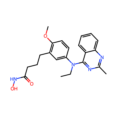 CCN(c1ccc(OC)c(CCCC(=O)NO)c1)c1nc(C)nc2ccccc12